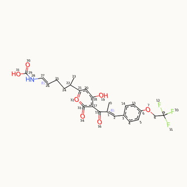 C/C(=C\c1ccc(OCC(F)(F)F)cc1)C(=O)c1c(O)cc(C(C)CC/C=C/NC(=O)O)oc1=O